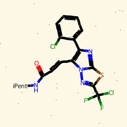 CCCC(C)NC(=O)/C=C/c1c(-c2ccccc2Cl)nc2sc(C(F)(F)Cl)nn12